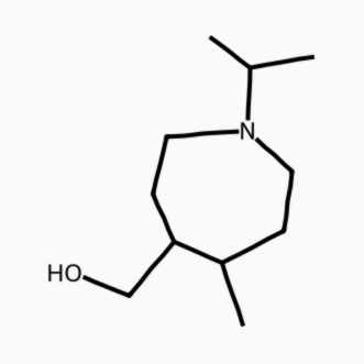 CC1CCN(C(C)C)CCC1CO